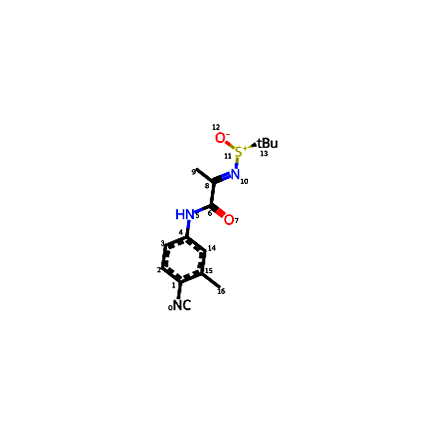 [C-]#[N+]c1ccc(NC(=O)/C(C)=N/[S@@+]([O-])C(C)(C)C)cc1C